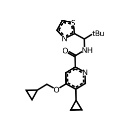 CC(C)(C)C(NC(=O)c1cc(OCC2CC2)c(C2CC2)cn1)c1nccs1